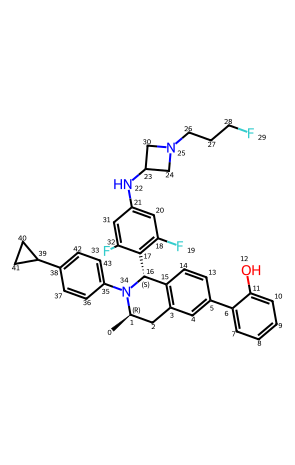 C[C@@H]1Cc2cc(-c3ccccc3O)ccc2[C@@H](c2c(F)cc(NC3CN(CCCF)C3)cc2F)N1c1ccc(C2CC2)cc1